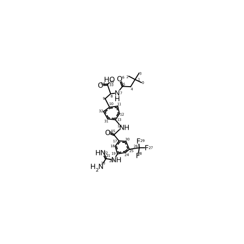 CC(C)(C)CC(=O)NC(Cc1ccc(NC(=O)c2cc(NC(=N)N)cc(C(F)(F)F)c2)cc1)C(=O)O